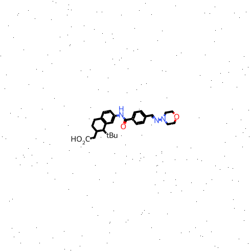 CC(C)(C)C1c2cc(NC(=O)c3ccc(C=NN4CCOCC4)cc3)ccc2CCC1CC(=O)O